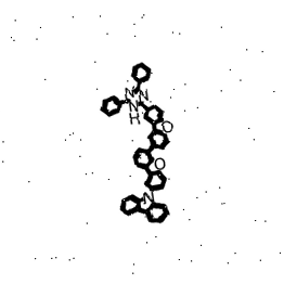 C1=c2oc3ccc(-c4cccc5c4oc4ccc(-n6c7ccccc7c7ccccc76)cc45)cc3c2=CC(C2=NC(c3ccccc3)=NC(c3ccccc3)N2)C1